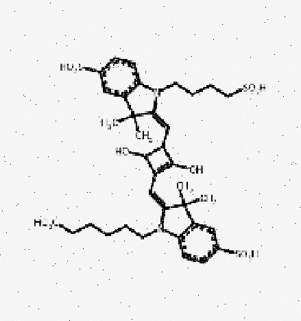 CC1(C)/C(=C\C2=C(O)C(/C=C3/N(CCCCS(=O)(=O)O)c4ccc(S(=O)(=O)O)cc4C3(C)C)C2O)N(CCCCCC(=O)O)c2ccc(S(=O)(=O)O)cc21